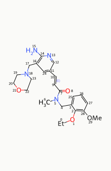 CCOc1c(CN(C)C(=O)/C=C/c2cnc(N)c(CN3CCOCC3)c2)cccc1OC